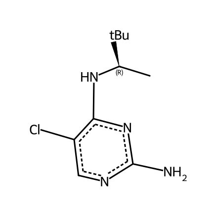 C[C@@H](Nc1nc(N)ncc1Cl)C(C)(C)C